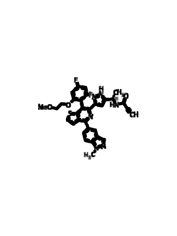 C#CC(=O)N[C@H](C)c1cc(-c2nc(-c3ccc4c(cnn4C)c3)c3ccsc3c2-c2c(F)cc(F)cc2OCCOC)n[nH]1